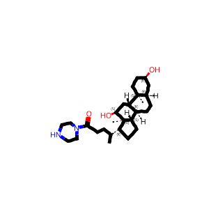 CC(CCC(=O)N1CCNCC1)[C@H]1CC[C@H]2[C@@H]3CC[C@@H]4C[C@H](O)CC[C@]4(C)[C@H]3C[C@H](O)[C@]12C